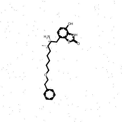 C[C@@H](CCCCCOCCc1ccccc1)[C@H](N)Cc1ccc(O)c2[nH]c(=O)sc12